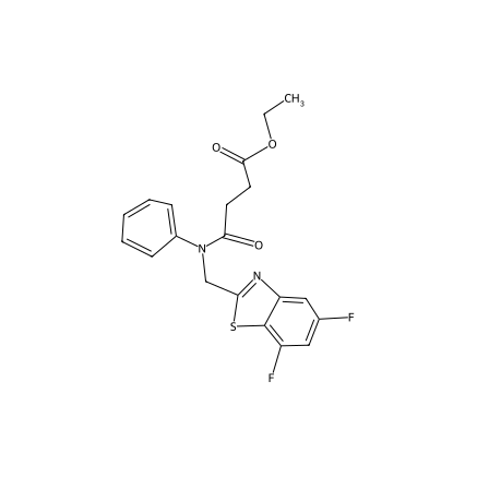 CCOC(=O)CCC(=O)N(Cc1nc2cc(F)cc(F)c2s1)c1ccccc1